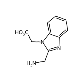 NCc1nc2ccccc2n1CC(=O)O